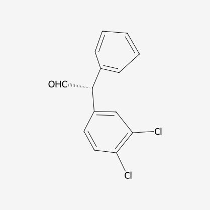 O=C[C@H](c1ccccc1)c1ccc(Cl)c(Cl)c1